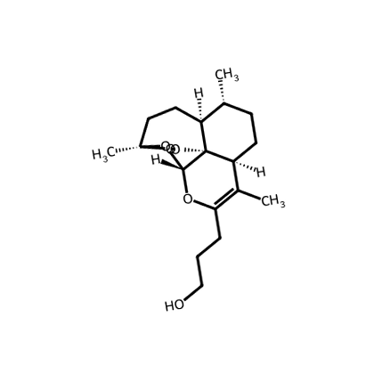 CC1=C(CCCO)O[C@@H]2O[C@]3(C)CC[C@H]4[C@H](C)CC[C@@H]1[C@@]24OO3